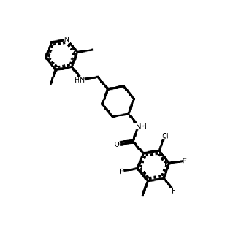 Cc1ccnc(C)c1NCC1CCC(NC(=O)c2c(F)c(C)c(F)c(F)c2Cl)CC1